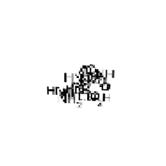 N=C(N)NCCCC(NC(=O)[C@@H]1CCC2CCC(NC(=O)Cc3ccccc3)C(=O)N21)C(=O)N[C@H](Cc1ccccc1)C(=O)O